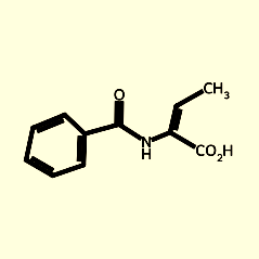 CC=C(NC(=O)c1ccccc1)C(=O)O